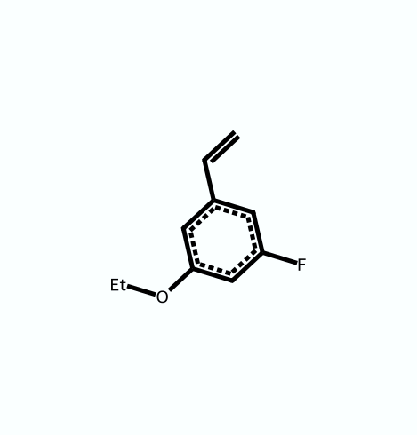 C=Cc1cc(F)cc(OCC)c1